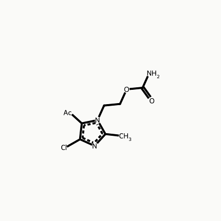 CC(=O)c1c(Cl)nc(C)n1CCOC(N)=O